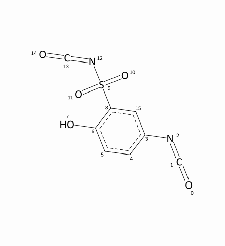 O=C=Nc1ccc(O)c(S(=O)(=O)N=C=O)c1